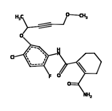 COCC#CC(C)Oc1cc(NC(=O)C2=C(C(N)=O)CCCC2)c(F)cc1Cl